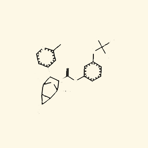 Cc1cc([C@@H]2[C@@H](C(=O)Nc3cccc(OC(F)(F)F)c3)[C@@H]3O[C@H]2C2C3[C@@H]2C)ccn1